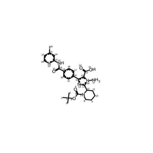 CC(C)(C)OC(=O)N1CCCCC1c1nc(-c2ccc(C(=O)Nc3cc(I)ccn3)cc2)c(C(=O)O)n1N